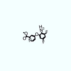 COC(=O)c1cc(Oc2cc(F)cc(F)c2N)ccn1